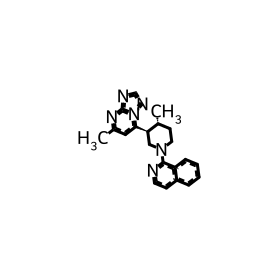 Cc1cc([C@@H]2CN(c3nccc4ccccc34)CC[C@H]2C)n2ncnc2n1